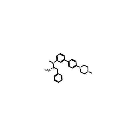 CN1CCN(c2ccc(-c3cccc(N(C)[C@@H](Cc4ccccc4)C(=O)O)c3)cc2)CC1